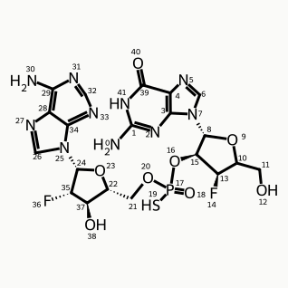 Nc1nc2c(ncn2[C@@H]2OC(CO)[C@@H](F)[C@H]2OP(=O)(S)OC[C@H]2O[C@@H](n3cnc4c(N)ncnc43)[C@@H](F)[C@@H]2O)c(=O)[nH]1